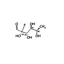 C[C@@H](O)[C@H](O)[C@H](O)[C@](O)(F)C=O